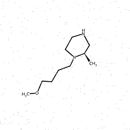 COCCCCN1CCNC[C@H]1C